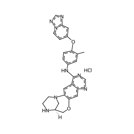 Cc1cc(Nc2ncnc3cc4c(cc23)N2CCN[C@H](CO4)C2)ccc1Oc1ccn2ncnc2c1.Cl